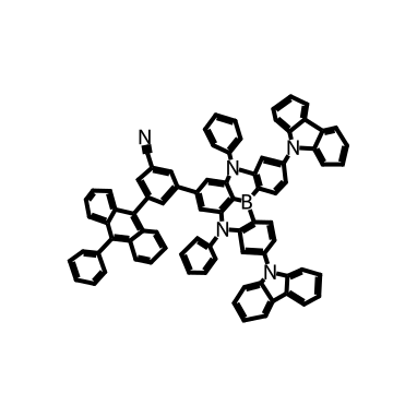 N#Cc1cc(-c2cc3c4c(c2)N(c2ccccc2)c2cc(-n5c6ccccc6c6ccccc65)ccc2B4c2ccc(-n4c5ccccc5c5ccccc54)cc2N3c2ccccc2)cc(-c2c3ccccc3c(-c3ccccc3)c3ccccc23)c1